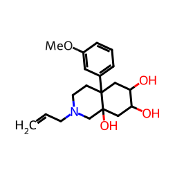 C=CCN1CCC2(c3cccc(OC)c3)CC(O)C(O)CC2(O)C1